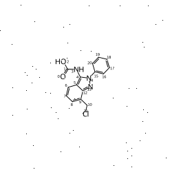 O=C(O)Nc1c2cccc(CCl)c2nn1-c1ccccc1